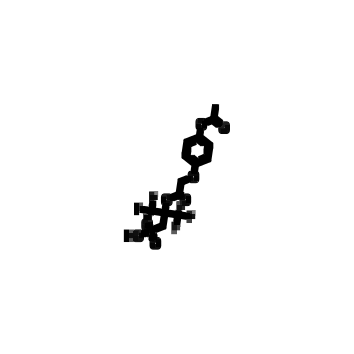 CC(=O)Oc1ccc(OCC(=O)OC(CS(=O)(=O)O)(C(F)(F)F)C(F)(F)F)cc1